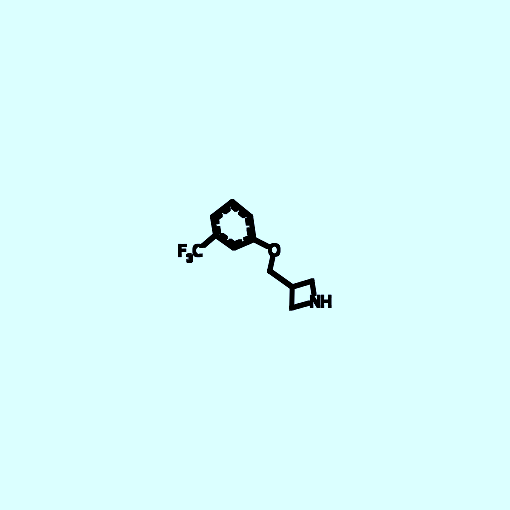 FC(F)(F)c1cccc(OCC2CNC2)c1